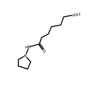 CCCCCCCCCCCCCC(=O)NN1CCCC1